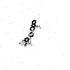 CP(C)(=O)c1c(F)ccc(Sc2cnc(N3CCC4(CC3)Cc3ccccc3[C@H]4N)cn2)c1Cl